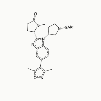 CSN1CCC(n2c([C@@H]3CCC(=O)N3C)nc3cc(-c4c(C)noc4C)ccc32)C1